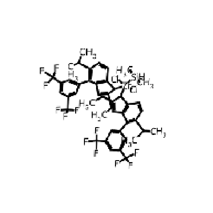 CCC1=Cc2c(ccc(C(C)C)c2-c2cc(C(F)(F)F)cc(C(F)(F)F)c2)[CH]1[Zr]([Cl])([Cl])([CH]1C(CC)=Cc2c1ccc(C(C)C)c2-c1cc(C(F)(F)F)cc(C(F)(F)F)c1)[SiH](C)C